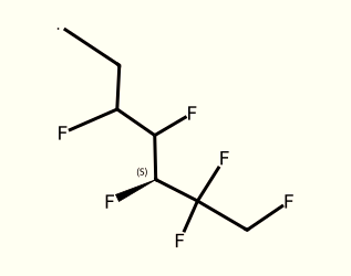 [CH2]CC(F)C(F)[C@H](F)C(F)(F)CF